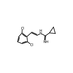 N=C(NC=Cc1c(Cl)cccc1Cl)C1CC1